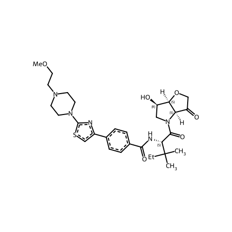 CCC(C)(C)[C@H](NC(=O)c1ccc(-c2csc(N3CCN(CCOC)CC3)n2)cc1)C(=O)N1C[C@@H](O)[C@H]2OCC(=O)[C@H]21